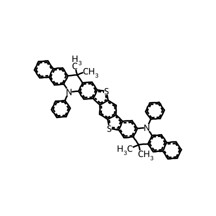 CC1(C)c2cc3ccccc3cc2N(c2ccccc2)c2cc3c(cc21)sc1cc2c(cc13)sc1cc3c(cc12)N(c1ccccc1)c1cc2ccccc2cc1C3(C)C